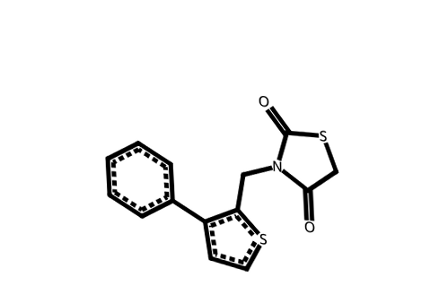 O=C1CSC(=O)N1Cc1sccc1-c1ccccc1